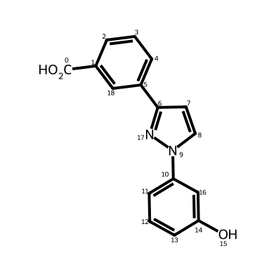 O=C(O)c1cccc(-c2ccn(-c3cccc(O)c3)n2)c1